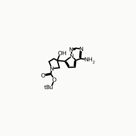 CC(C)(C)OC(=O)N1CCC(O)(c2ccc3c(N)ncnn23)C1